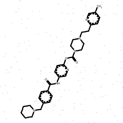 Cc1ccc(CCN2CCN(C(=O)Oc3ccc(NC(=O)c4ccc(CN5CCCCC5)cc4)cn3)CC2)nc1